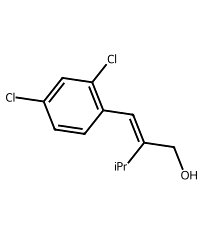 CC(C)/C(=C\c1ccc(Cl)cc1Cl)CO